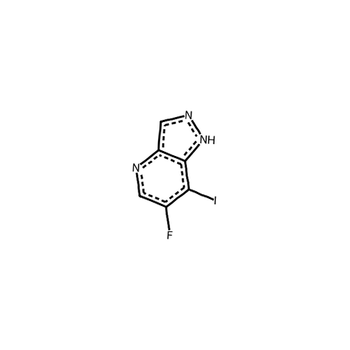 Fc1cnc2cn[nH]c2c1I